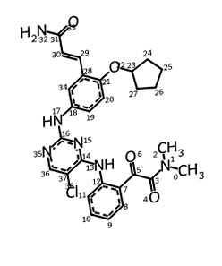 CN(C)C(=O)C(=O)c1ccccc1Nc1nc(Nc2ccc(OC3CCCC3)c(C=CC(N)=O)c2)ncc1Cl